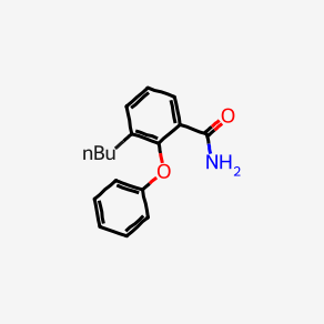 CCCCc1cccc(C(N)=O)c1Oc1ccccc1